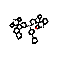 c1ccc(-c2ccc(N(c3ccc4c(c3)-c3c(ccc5ccccc35)C43c4ccccc4Oc4ccccc43)c3ccc4c(c3)C3(c5ccccc5Oc5ccccc53)c3ccccc3-4)cc2)cc1